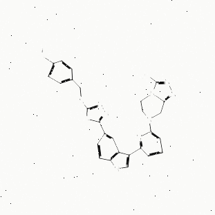 COc1ccc(CNc2nnc(-c3ccc4[nH]cc(-c5cccc(N6CCn7c(C)nnc7C6)n5)c4c3)s2)cc1